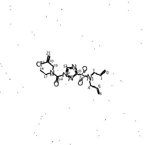 C=CCN(CC=C)S(=O)(=O)c1ncn(C(=O)N(CC)CC(=C)Cl)n1